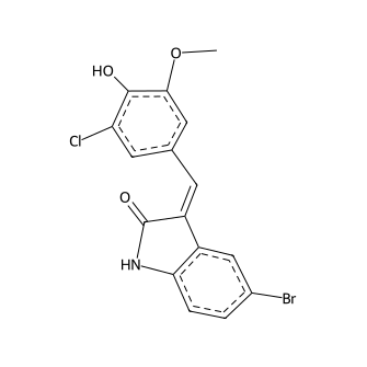 COc1cc(C=C2C(=O)Nc3ccc(Br)cc32)cc(Cl)c1O